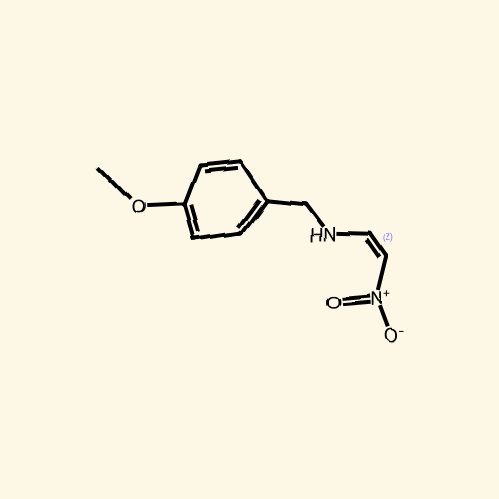 COc1ccc(CN/C=C\[N+](=O)[O-])cc1